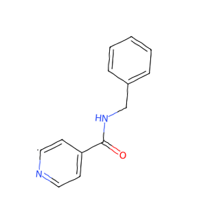 O=C(NCc1ccccc1)c1c[c]ncc1